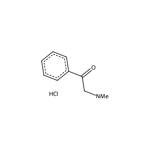 CNCC(=O)c1ccccc1.Cl